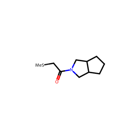 CSCC(=O)N1CC2CCCC2C1